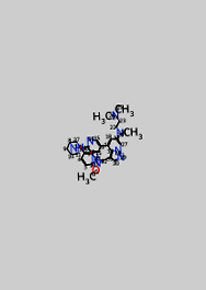 COc1ccc(CN2C3CC2CN(c2ccc(-c4cc(N(C)CCN(C)C)cn5ncc(C#N)c45)cn2)C3)cn1